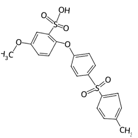 COc1ccc(Oc2ccc(S(=O)(=O)c3ccc(C)cc3)cc2)c(S(=O)(=O)O)c1